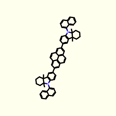 CC12CCCCC1(C)N(c1cccc3ccccc13)c1ccc(-c3cc4ccc5cc(-c6ccc7c(c6)C6(C)CCCCC6(C)N7c6cccc7ccccc67)cc6ccc(c3)c4c56)cc12